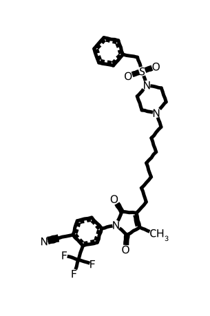 CC1=C(CCCCCCCN2CCN(S(=O)(=O)Cc3ccccc3)CC2)C(=O)N(c2ccc(C#N)c(C(F)(F)F)c2)C1=O